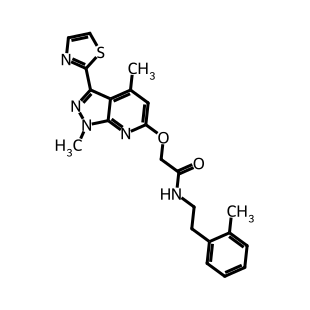 Cc1ccccc1CCNC(=O)COc1cc(C)c2c(-c3nccs3)nn(C)c2n1